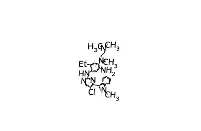 CCc1cc(N(C)CCN(C)C)c(N)cc1Nc1ncc(Cl)c(-c2cn(C)c3ccccc23)n1